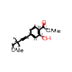 COCC(C)(C)C#Cc1ccc(C(=O)OC)c(O)c1